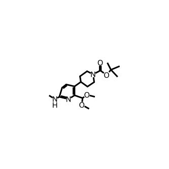 CNc1ccc(C2CCN(C(=O)OC(C)(C)C)CC2)c(C(OC)OC)n1